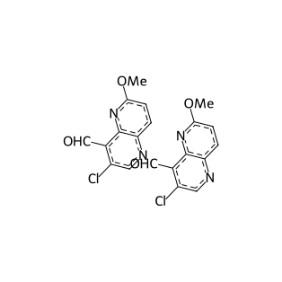 COc1ccc2ncc(Cl)c(C=O)c2n1.COc1ccc2ncc(Cl)c(C=O)c2n1